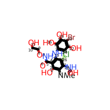 CNc1c(O)c(C(=O)NOCCO)c(Nc2c(O)c(O)c(Br)c(O)c2Cl)c(F)c1NO